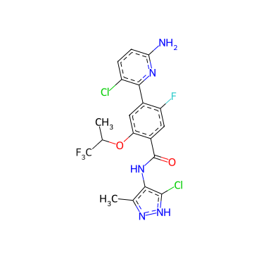 Cc1n[nH]c(Cl)c1NC(=O)c1cc(F)c(-c2nc(N)ccc2Cl)cc1OC(C)C(F)(F)F